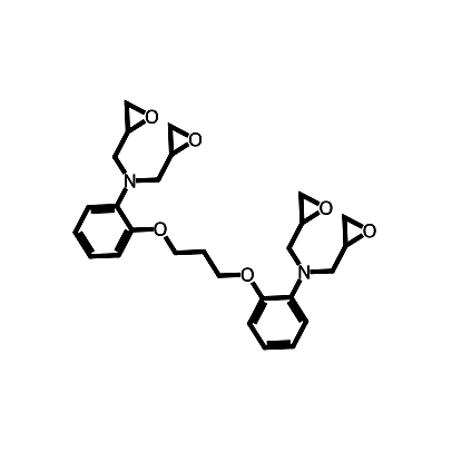 c1ccc(N(CC2CO2)CC2CO2)c(OCCCOc2ccccc2N(CC2CO2)CC2CO2)c1